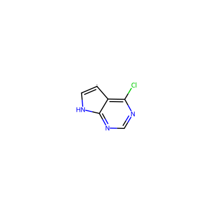 Clc1ncnc2[nH]c[c]c12